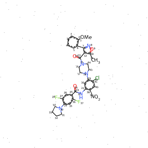 COc1ccccc1-c1noc(C)c1C(=O)N1CCN(c2cc(NC(=O)c3cc(F)c(N4CCCC4)cc3F)c([N+](=O)[O-])cc2Cl)CC1